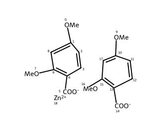 COc1ccc(C(=O)[O-])c(OC)c1.COc1ccc(C(=O)[O-])c(OC)c1.[Zn+2]